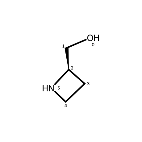 OC[C@H]1CCN1